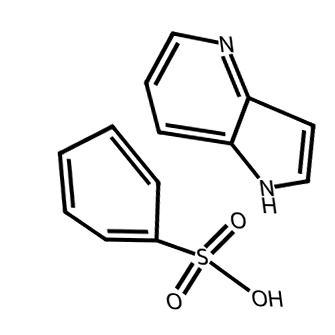 O=S(=O)(O)c1ccccc1.c1cnc2cc[nH]c2c1